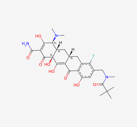 CN(Cc1cc(O)c2c(c1F)C[C@H]1C[C@H]3[C@H](N(C)C)C(O)=C(C(N)=O)C(=O)[C@@]3(O)C(O)=C1C2=O)C(=O)C(C)(C)C